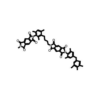 Cc1cc(Cc2cc(C)c(-n3c(=O)c4cc5c(=O)n(CCCCc6c(C)cc(C)c(-n7c(=O)c8cc9c(=O)n(C)c(=O)c9cc8c7=O)c6C)c(=O)c5cc4c3=O)c(C)c2)cc(C)c1C